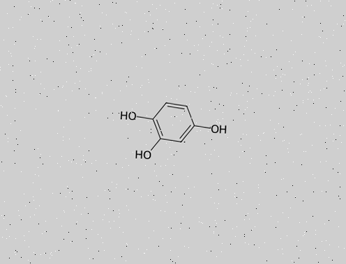 Oc1[c]c(O)c(O)cc1